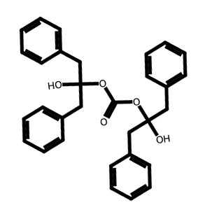 O=C(OC(O)(Cc1ccccc1)Cc1ccccc1)OC(O)(Cc1ccccc1)Cc1ccccc1